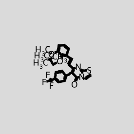 COc1cccc(C=Cc2nc3sccn3c(=O)c2-c2ccc(C(F)(F)F)cc2)c1OCC(C)(C)C